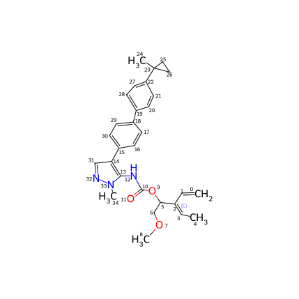 C=C/C(=C\C)C(COC)OC(=O)Nc1c(-c2ccc(-c3ccc(C4(C)CC4)cc3)cc2)cnn1C